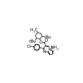 CC1CC(C(C)(C)C)C(OC(=O)C2=C[N+]3(N)C=CC=C3N=C2c2ccc(Cl)cc2)C(C(C)(C)C)C1